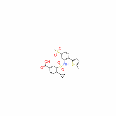 Cc1ccc(-c2ccc(S(C)(=O)=O)cc2NS(=O)(=O)c2cc(C(=O)O)ccc2C2CC2)s1